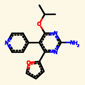 CC(C)Oc1nc(N)nc(-c2ccco2)c1-c1ccncc1